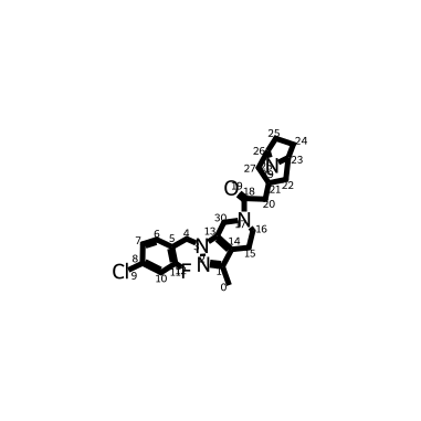 Cc1nn(Cc2ccc(Cl)cc2F)c2c1CCN(C(=O)CC1CC3CCC(C1)N3C)C2